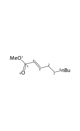 CCCCCCC=CC(=O)OC